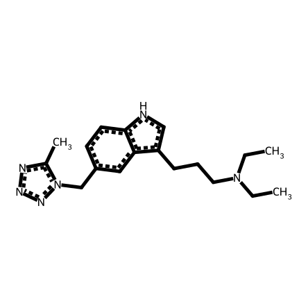 CCN(CC)CCCc1c[nH]c2ccc(Cn3nnnc3C)cc12